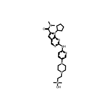 CN(C)C(=O)c1cc2cnc(Nc3ccc(N4CCN(CC[Si](C)(C)O)CC4)cn3)nc2n1C1CCCC1